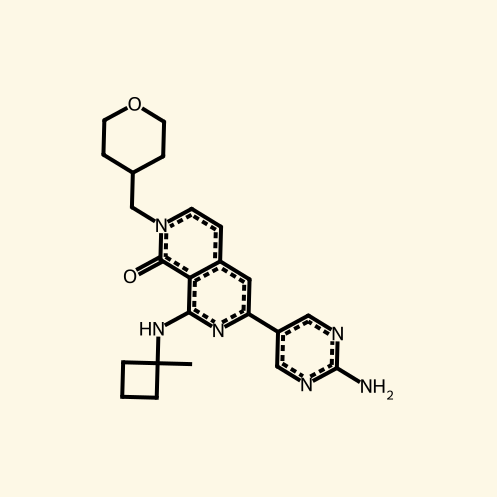 CC1(Nc2nc(-c3cnc(N)nc3)cc3ccn(CC4CCOCC4)c(=O)c23)CCC1